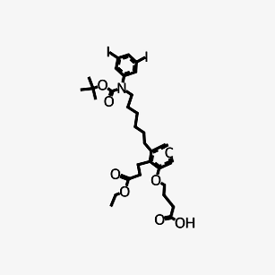 CCOC(=O)CCc1c(CCCCCCN(C(=O)OC(C)(C)C)c2cc(I)cc(I)c2)cccc1OCCCC(=O)O